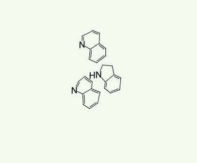 c1ccc2c(c1)CCN2.c1ccc2ncccc2c1.c1ccc2ncccc2c1